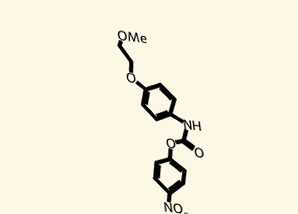 COCCOc1ccc(NC(=O)Oc2ccc([N+](=O)[O-])cc2)cc1